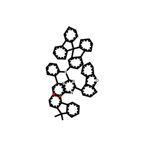 CC1(C)c2ccccc2-c2c(-c3nc(-c4cccc5oc6ccccc6c45)nc(N(c4ccc5c(c4)C4(c6ccccc6-c6ccccc64)c4ccccc4-5)c4ccccc4-c4ccccc4)n3)cccc21